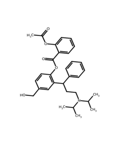 CC(=O)Oc1ccccc1C(=O)Oc1ccc(CO)cc1C(CCN(C(C)C)C(C)C)c1ccccc1